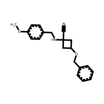 COc1ccc(CNC2(C#N)CC(OCc3ccccc3)C2)cc1